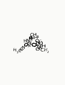 C=CC(=O)Nc1ccc(-c2nc(Nc3cc(C)[nH]n3)c3ccc(N4CCN(C)CC4)cc3n2)cc1[N+](=O)[O-]